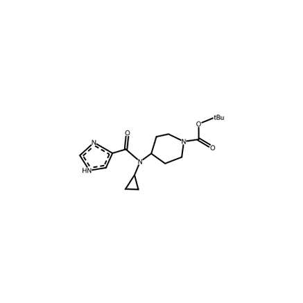 CC(C)(C)OC(=O)N1CCC(N(C(=O)c2c[nH]cn2)C2CC2)CC1